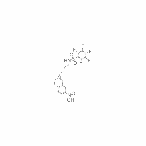 O=[N+](O)c1ccc2c(c1)CN(CCCCNS(=O)(=O)c1c(F)c(F)c(F)c(F)c1F)CC2